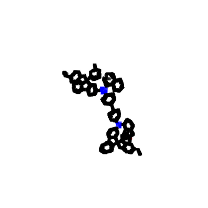 C=Cc1ccc(CC2(c3cccc(C)c3)c3ccccc3-c3ccc(N(c4ccc(-c5ccc(N(c6ccc7c(c6)C(Cc6ccc(C=C)cc6)(c6cccc(C)c6)c6ccccc6-7)c6cccc7ccccc67)cc5)cc4)c4cccc5ccccc45)cc32)cc1